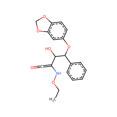 CCONC(=C=O)C(O)C(Oc1ccc2c(c1)OCO2)c1ccccc1